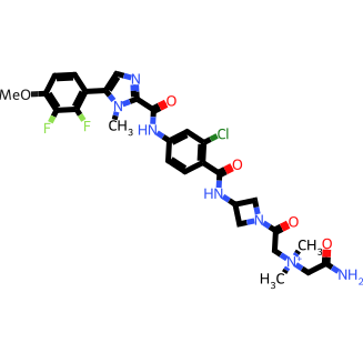 COc1ccc(-c2cnc(C(=O)Nc3ccc(C(=O)NC4CN(C(=O)C[N+](C)(C)CC(N)=O)C4)c(Cl)c3)n2C)c(F)c1F